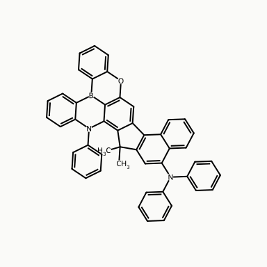 CC1(C)c2cc(N(c3ccccc3)c3ccccc3)c3ccccc3c2-c2cc3c4c(c21)N(c1ccccc1)c1ccccc1B4c1ccccc1O3